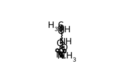 CCOPOCCCCCCNC(=O)CCC(=O)N1Cc2ccccc2-c2nnn(C)c2-c2ccccc21